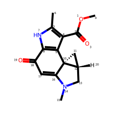 COC(=O)c1c(C)[nH]c2c1[C@@]13C[C@@H]1CN(C)C3=CC2=O